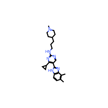 Cc1ccc2[nH]c(-c3cnc(NCCCC4CCN(C)CC4)nc3C3CC3)nc2c1C